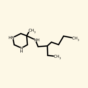 CCCCC(CC)CNC1(C)CNCNC1